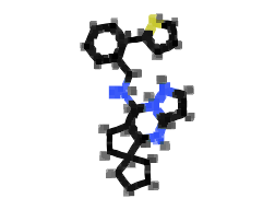 c1csc(-c2ccccc2CNc2c3c(nc4ccnn24)C2(CCCC2)CC3)c1